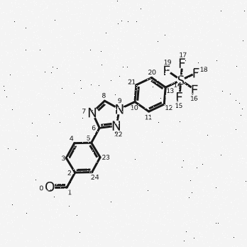 O=Cc1ccc(-c2ncn(-c3ccc(S(F)(F)(F)(F)F)cc3)n2)cc1